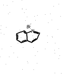 [Bi].c1ccc2ncccc2c1